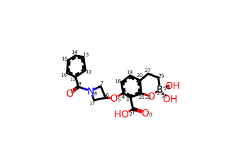 O=C(O)c1c(OC2CN(C(=O)c3ccccc3)C2)ccc2c1O[B-](O)(O)CC2